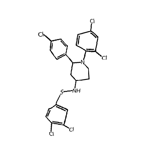 Clc1ccc(C2CC(NSc3ccc(Cl)c(Cl)c3)CCN2c2ccc(Cl)cc2Cl)cc1